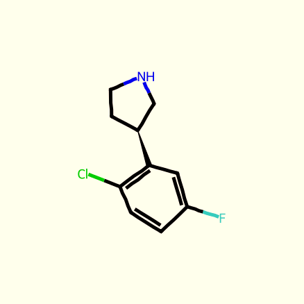 Fc1ccc(Cl)c([C@H]2CCNC2)c1